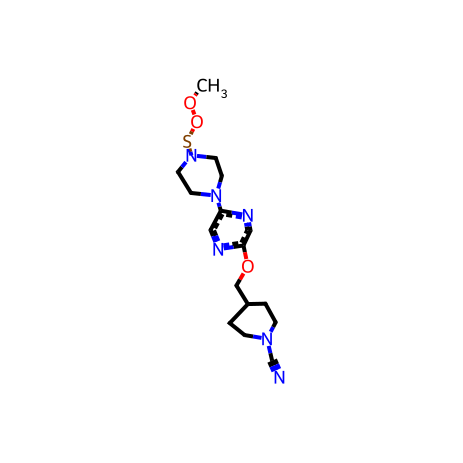 COOSN1CCN(c2cnc(OCC3CCN(C#N)CC3)cn2)CC1